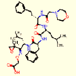 CC(C)CC[C@H](NC(=O)[C@H](CCc1ccccc1)NC(=O)CN1CCOCC1)C(=O)N[C@@H](Cc1ccccc1)C(=O)N[C@@H](CC(C)C)/C(=N/OCC(=O)O)[C@@]1(C)CO1